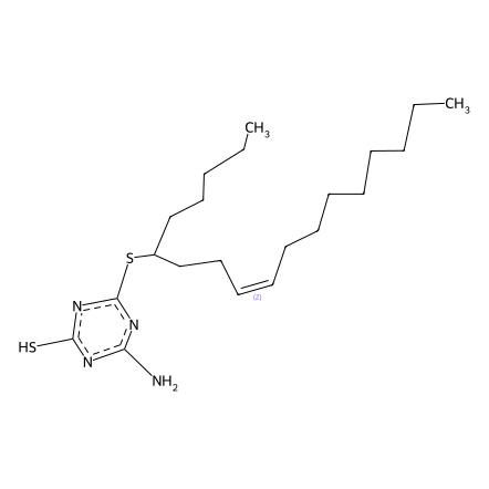 CCCCCCCC/C=C\CCC(CCCCC)Sc1nc(N)nc(S)n1